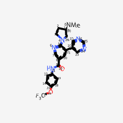 CN[C@@H]1CCN(c2ncc(C(=O)Nc3ccc(OC(F)(F)F)cc3)cc2-c2cncnc2)C1